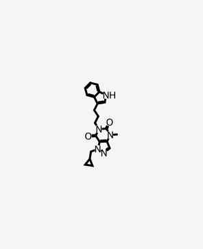 Cn1c(=O)n(CCCc2c[nH]c3ccccc23)c(=O)c2c1cnn2CC1CC1